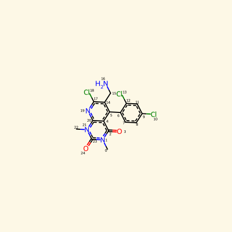 Cn1c(=O)c2c(-c3ccc(Cl)cc3Cl)c(CN)c(Cl)nc2n(C)c1=O